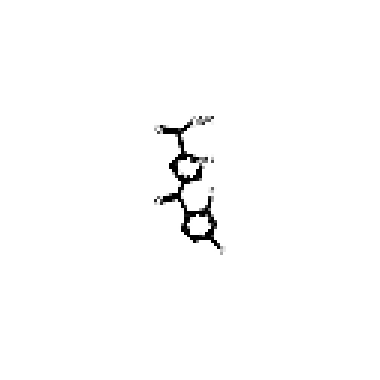 COC(=O)c1cc(C(=O)c2ccc(F)cc2F)c[nH]1